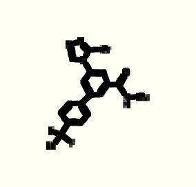 CCC(F)(F)c1ccc(-c2cc(C(=O)NC(C)(C)C)cc(-n3cnnc3C(C)C)c2)cc1